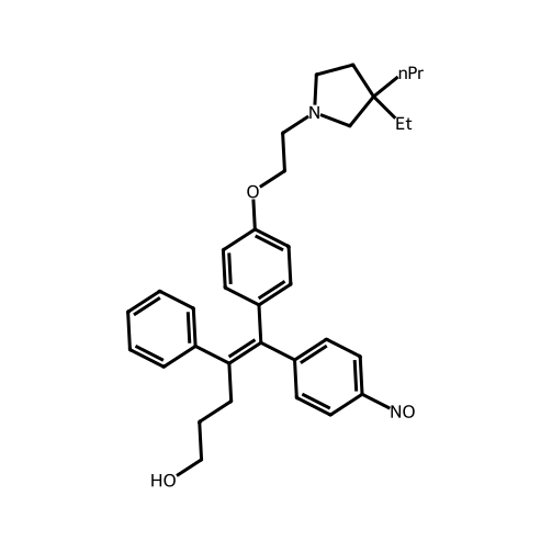 CCCC1(CC)CCN(CCOc2ccc(/C(=C(/CCCO)c3ccccc3)c3ccc(N=O)cc3)cc2)C1